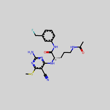 CSc1nc(N)nc(N[C@@H](CCCNC(C)=O)C(=O)Nc2cccc(CF)c2)c1C#N